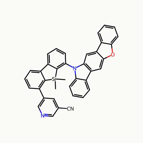 C[Si]1(C)c2c(-c3cncc(C#N)c3)cccc2-c2cccc(-n3c4ccccc4c4cc5oc6ccccc6c5cc43)c21